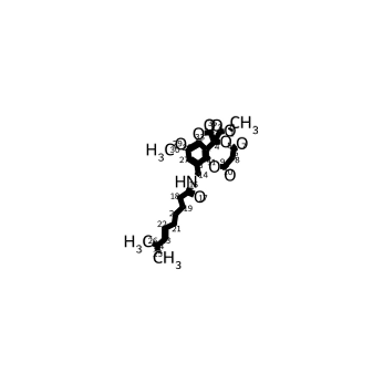 COC(=O)C12OC(=O)CC(=O)Oc3c(CNC(=O)CCCCC=CC(C)C)cc(OC)c(c31)OC2=O